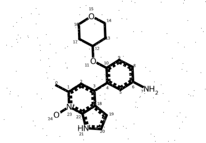 Cc1cc(-c2cc(N)ccc2OC2CCOCC2)c2cc[nH]c2[n+]1[O-]